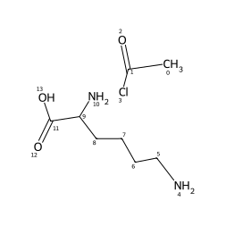 CC(=O)Cl.NCCCCC(N)C(=O)O